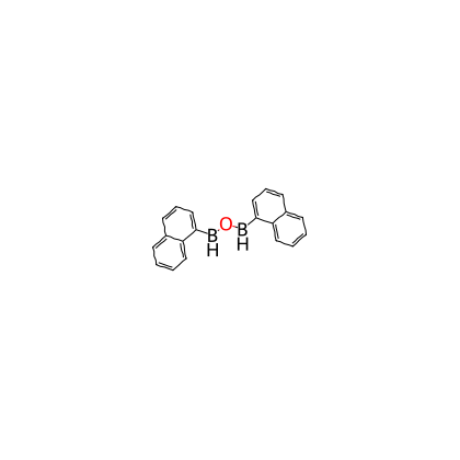 B(OBc1cccc2ccccc12)c1cccc2ccccc12